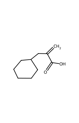 C=C(CC1CCCCC1)C(=O)O